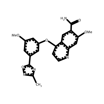 COc1cc(Oc2ccnc3cc(OC)c(C(N)=O)cc23)cc(-c2nc(C)no2)c1